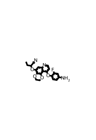 CCC(C#N)Oc1cc2nccc(Oc3ccc(N)cc3F)c2c2c1OCCO2